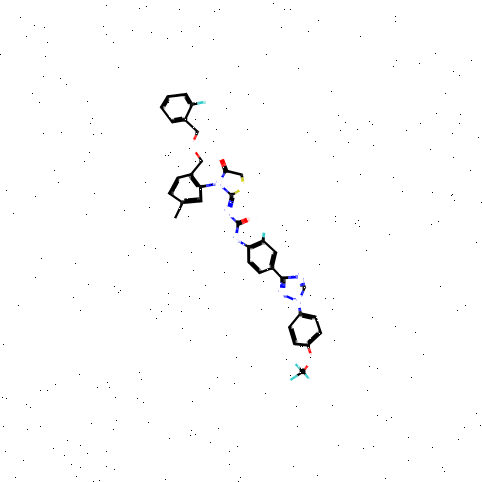 Cc1ccc(COCc2ccccc2F)c(N2C(=O)CSC2=NC(=O)Nc2ccc(-c3ncn(-c4ccc(OC(F)(F)F)cc4)n3)cc2F)c1